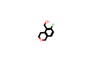 OCc1c(Cl)ccc2c1CCOC2